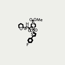 COC(=O)N1CCN(S(=O)(=O)c2ccc(-c3ccc(F)cc3)s2)[C@@H](C(=O)NOC2CCCCO2)C1